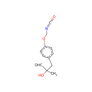 CC(O)(C=O)Cc1ccc(OCN=C=O)cc1